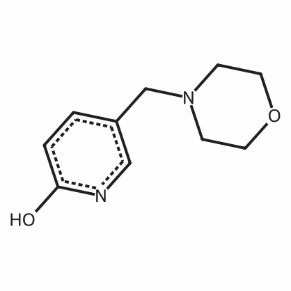 Oc1ccc(CN2CCOCC2)cn1